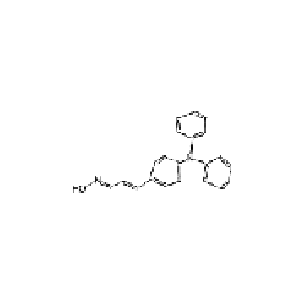 ON=C/C=C/c1ccc(N(c2ccccc2)c2ccccc2)cc1